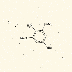 COc1cc(C(C)(C)C)cc(OC)c1N